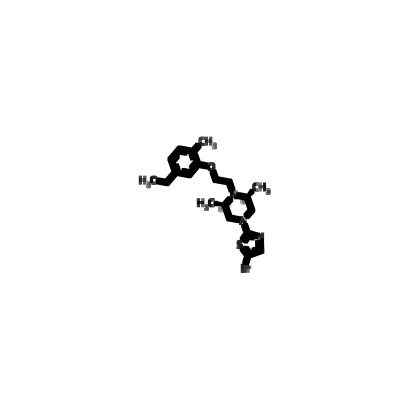 CCc1ccc(C)c(OCCN2[C@H](C)CN(c3ncc(Br)s3)C[C@@H]2C)c1